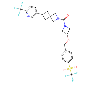 O=C(N1CC(OCc2ccc(S(=O)(=O)C(F)(F)F)cc2)C1)N1CC2(CC(c3ccc(C(F)(F)F)nc3)C2)C1